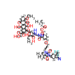 CCCC(=O)OCOc1ccc(COCC#CCN2C(=O)N(c3ccc(C#N)c(C(F)(F)F)c3)C(=O)C2(C)C)cc1C(=O)NCNC1CC(O[C@H]2C[C@](O)(C(=O)CO)Cc3c(O)c4c(c(O)c32)C(=O)c2c(OC)cccc2C4=O)OC(C)C1O